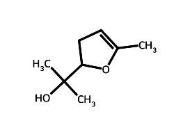 CC1=CCC(C(C)(C)O)O1